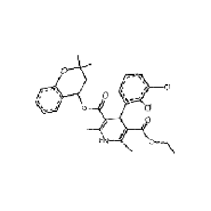 CCOC(=O)C1=C(C)NC(C)=C(C(=O)OC2CC(C)(C)Oc3ccccc32)C1c1cccc(Cl)c1Cl